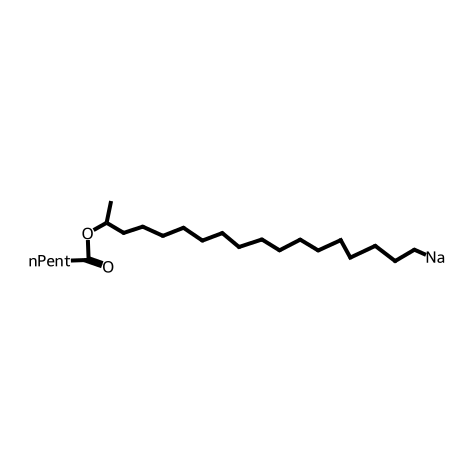 CCCCCC(=O)OC(C)CCCCCCCCCCCCCCC[CH2][Na]